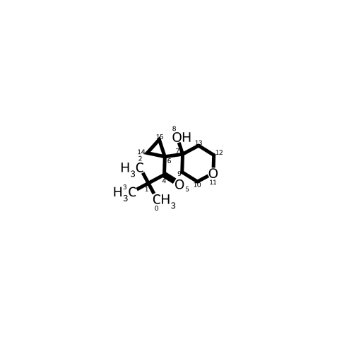 CC(C)(C)C(=O)C1(C2(O)CCOCC2)CC1